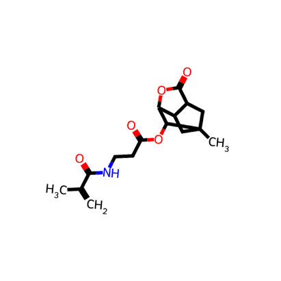 C=C(C)C(=O)NCCC(=O)OC1C2OC(=O)C3CC1(C)CC32